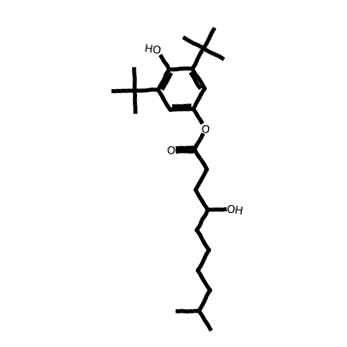 CC(C)CCCCC(O)CCC(=O)Oc1cc(C(C)(C)C)c(O)c(C(C)(C)C)c1